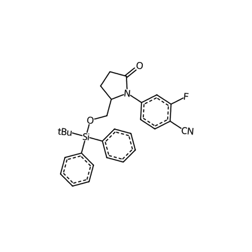 CC(C)(C)[Si](OCC1CCC(=O)N1c1ccc(C#N)c(F)c1)(c1ccccc1)c1ccccc1